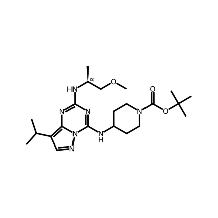 COC[C@H](C)Nc1nc(NC2CCN(C(=O)OC(C)(C)C)CC2)n2ncc(C(C)C)c2n1